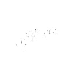 COc1ccccc1CNC(=O)C1CCCN(c2ccnc(Nc3cc(OC)c(OC)c(OC)c3)n2)C1